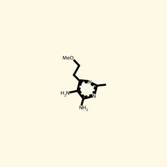 COCCc1nc(C)nc(N)c1N